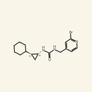 O=C(NCc1ccnc(Br)c1)N[C@@H]1C[C@H]1C1CCCCC1